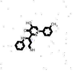 Cc1cccc(-n2cc(O)c(=O)c(/C(=C/C=N)Nc3ccccc3)n2)c1